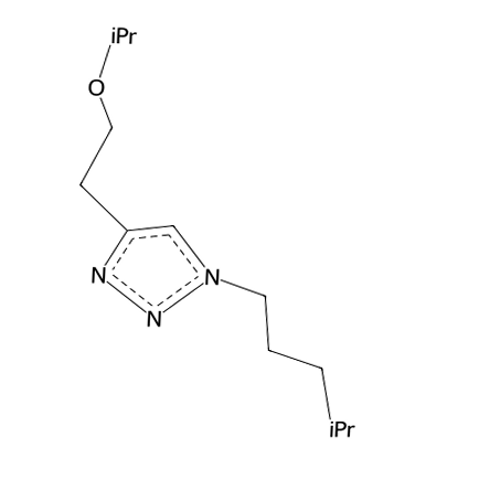 CC(C)CCCn1cc(CCOC(C)C)nn1